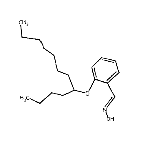 CCCCCCCC(CCCC)Oc1ccccc1C=NO